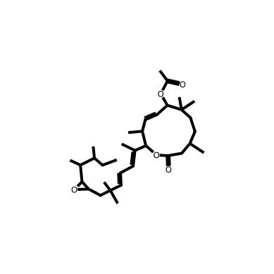 CCC(C)C(C)C1OC1CC(C)(C)/C=C/C=C(\C)C1OC(=O)CC(C)CCC(C)(C)C(OC(C)=O)/C=C/C1C